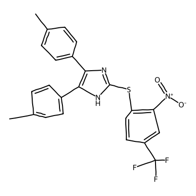 Cc1ccc(-c2nc(Sc3ccc(C(F)(F)F)cc3[N+](=O)[O-])[nH]c2-c2ccc(C)cc2)cc1